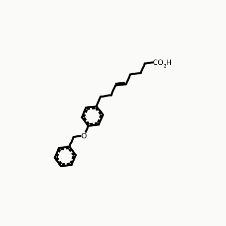 O=C(O)CCC/C=C/CCc1ccc(OCc2ccccc2)cc1